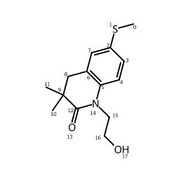 CSc1ccc2c(c1)CC(C)(C)C(=O)N2CCO